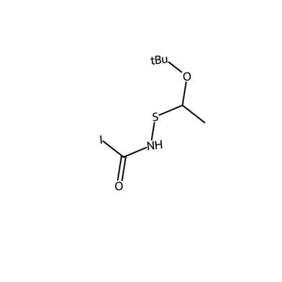 CC(OC(C)(C)C)SNC(=O)I